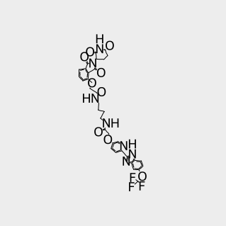 O=C(COc1ccc(-c2nc3cc(OC(F)(F)F)ccc3[nH]2)nc1)NCCCCNC(=O)COc1cccc2c1C(=O)N(C1CCC(=O)NC1=O)C2=O